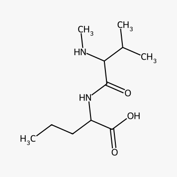 CCCC(NC(=O)C(NC)C(C)C)C(=O)O